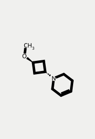 CO[C@H]1C[C@H](N2CC=CCC2)C1